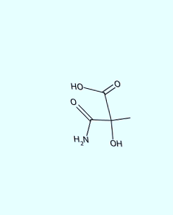 CC(O)(C(N)=O)C(=O)O